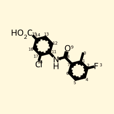 Cc1c(F)cccc1C(=O)Nc1ccc(C(=O)O)cc1Cl